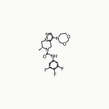 C[C@H]1Cn2ncc(N3CCOCOC3)c2CN1C(=O)Nc1cc(F)c(F)c(F)c1